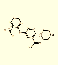 CCCC(=O)c1cc(Cc2ccccc2N(C)C)ccc1N1CCNCC1